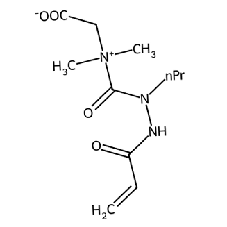 C=CC(=O)NN(CCC)C(=O)[N+](C)(C)CC(=O)[O-]